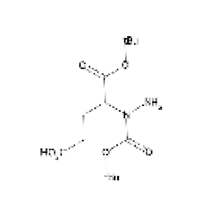 CC(C)(C)OC(=O)C(CCC(=O)O)N(N)C(=O)OC(C)(C)C